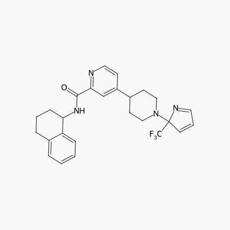 O=C(NC1CCCc2ccccc21)c1cc(C2CCN(C3(C(F)(F)F)C=CC=N3)CC2)ccn1